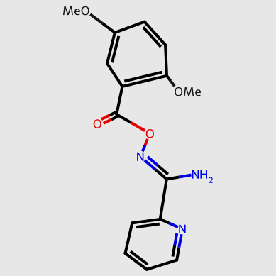 COc1ccc(OC)c(C(=O)ON=C(N)c2ccccn2)c1